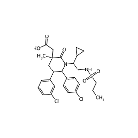 CCCS(=O)(=O)NCC(C1CC1)N1C(=O)C(C)(CC(=O)O)CC(c2cccc(Cl)c2)C1c1ccc(Cl)cc1